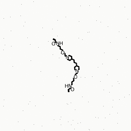 C=CC(=O)NCCCCOCCN1CCC(CCCC2CCN(CCOCCCCNC(=O)C=C)CC2)CC1